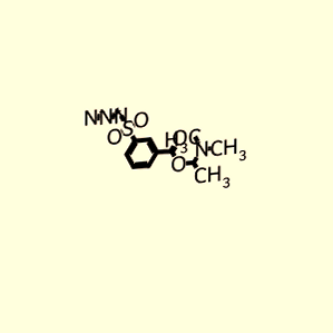 CC(OC(=O)c1cccc(S(=O)(=O)N=[N+]=[N-])c1)N(C)C